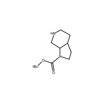 CC(C)(C)OC(=O)N1CCC2CCNCC21